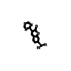 CCN(CC)c1ccc2cc(-c3ncncn3)c(=O)oc2c1